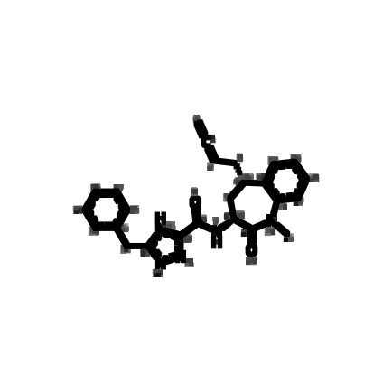 C=C=CC[C@H]1C[C@H](NC(=O)c2nnc(Cc3ccccc3)[nH]2)C(=O)N(C)c2ccccc21